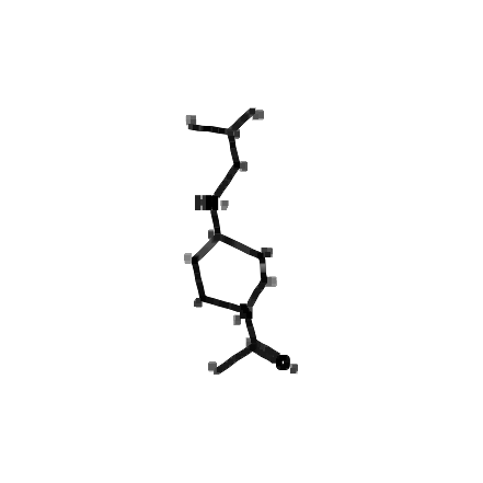 CC(=O)N1CCC(NCC(C)C)CC1